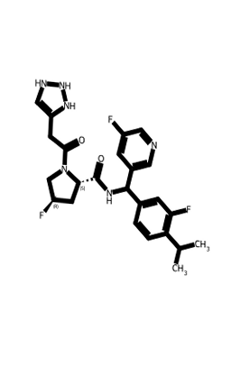 CC(C)c1ccc(C(NC(=O)[C@@H]2C[C@@H](F)CN2C(=O)CC2=CNNN2)c2cncc(F)c2)cc1F